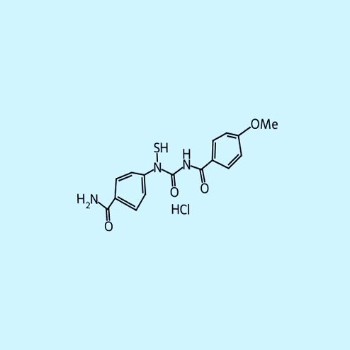 COc1ccc(C(=O)NC(=O)N(S)c2ccc(C(N)=O)cc2)cc1.Cl